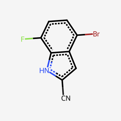 N#Cc1cc2c(Br)ccc(F)c2[nH]1